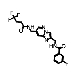 O=C(CCC(F)(F)F)NCc1cnn2cc(CNC(=O)c3cccc(F)c3)nc2c1